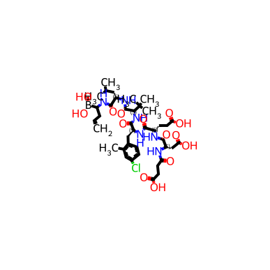 C=CCC(NC(=O)[C@H](CC(C)C)NC(=O)[C@@H](NC(=O)[C@H](Cc1ccc(Cl)cc1C)NC(=O)[C@H](CCC(=O)O)NC(=O)[C@H](CC(=O)O)NC(=O)CCC(=O)O)C(C)(C)C)B(O)O